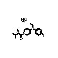 CCN(c1ccc(F)cc1)C1CCN(C(=O)[C@@H](N)C(C)C)CC1.Cl.Cl